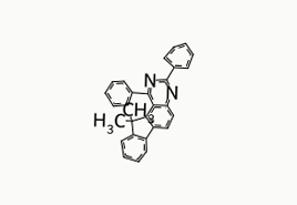 CC1(C)c2ccccc2-c2ccc3nc(-c4ccccc4)nc(-c4ccccc4)c3c21